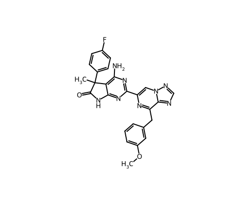 COc1cccc(Cc2nc(-c3nc(N)c4c(n3)NC(=O)C4(C)c3ccc(F)cc3)cn3ncnc23)c1